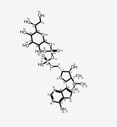 CN(C)[C@]1(C)[C@H](O)[C@@H](COP(=O)(S)OP(=O)(O)OC2OC([C@@H](O)CO)C(O)C(O)C2O)O[C@H]1c1csc2c(N)ncnc12